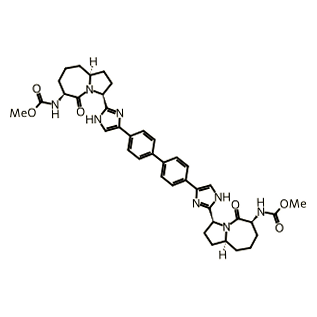 COC(=O)N[C@H]1CCC[C@H]2CC[C@@H](c3nc(-c4ccc(-c5ccc(-c6c[nH]c([C@@H]7CC[C@@H]8CCC[C@H](NC(=O)OC)C(=O)N87)n6)cc5)cc4)c[nH]3)N2C1=O